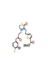 COC(=O)c1ccc(CCN2C(=O)SCCN2CCC(=O)Cc2ccc(F)c(Br)c2)s1